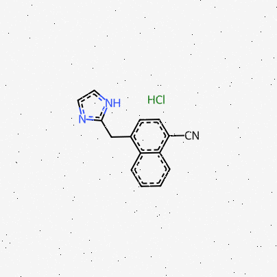 Cl.N#Cc1ccc(Cc2ncc[nH]2)c2ccccc12